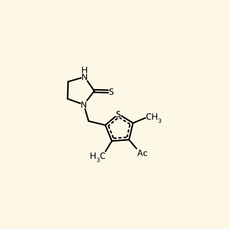 CC(=O)c1c(C)sc(CN2CCNC2=S)c1C